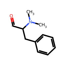 CN(C)C([C]=O)Cc1ccccc1